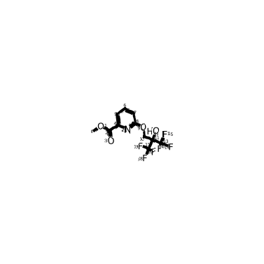 COC(=O)c1cccc(OCC(O)(C(F)(F)F)C(F)(F)F)n1